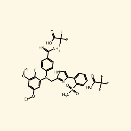 CCOc1cc(OC(C)C)c(F)c(N(Cc2nc(-c3ccccc3S(C)(=O)=O)c[nH]2)c2ccc(C(=N)N)cc2)c1.O=C(O)C(F)(F)F.O=C(O)C(F)(F)F